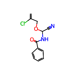 C=C(Cl)COC(C#N)NC(=O)c1ccccc1